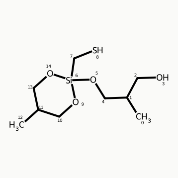 CC(CO)CO[Si]1(CS)OCC(C)CO1